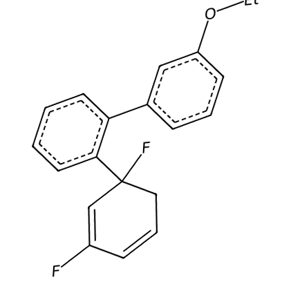 CCOc1cccc(-c2ccccc2C2(F)C=C(F)C=CC2)c1